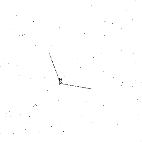 CCCCCCCCCCCCCCCCCCCCCCCCCCCCCCCCCCCC[PH](C)(C)CCCCCCCCCCCCCCCCCCCCCCCCCCCCCCCCCCCC